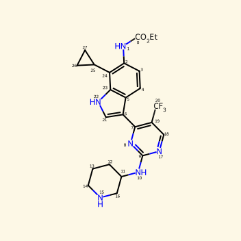 CCOC(=O)Nc1ccc2c(-c3nc(NC4CCCNC4)ncc3C(F)(F)F)c[nH]c2c1C1CC1